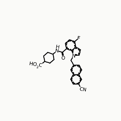 N#Cc1ccc2cc(Cn3ccc4c(F)ccc(C(=O)NC5CCC(C(=O)O)CC5)c43)ccc2c1